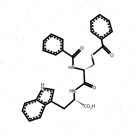 O=C(N[C@H](CSC(=O)c1ccccc1)C(=O)N[C@@H](Cc1c[nH]c2ccccc12)C(=O)O)c1ccccc1